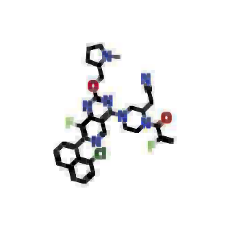 C=C(F)C(=O)N1CCN(c2nc(OCC3CCCN3C)nc3c(F)c(-c4cccc5cccc(Cl)c45)ncc23)CC1CC#N